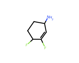 NC1C=C(F)C(F)CC1